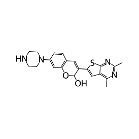 Cc1nc(C)c2cc(C3=Cc4ccc(N5CCNCC5)cc4OC3O)sc2n1